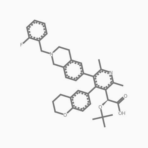 Cc1nc(C)c([C@H](OC(C)(C)C)C(=O)O)c(-c2ccc3c(c2)CCCO3)c1-c1ccc2c(c1)CCN(Cc1ccccc1F)C2